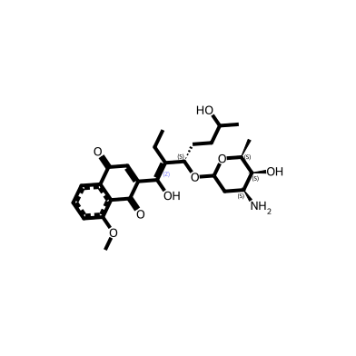 CC/C(=C(/O)C1=CC(=O)c2cccc(OC)c2C1=O)[C@H](CCC(C)O)OC1C[C@H](N)[C@H](O)[C@H](C)O1